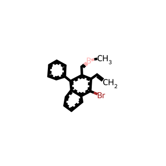 C=Cc1c(/C=B\C)c(-c2ccccc2)c2ccccc2c1Br